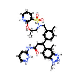 CC[C@@H]1CN(Cc2cc(C(=CC(=O)Nc3cccnn3)c3ccc4c(nnn4CC)c3C)ccc2C)S(=O)(=O)c2cccnc2O1